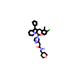 Cc1c(F)cccc1Cc1c(-c2ccccc2)c2ccccn2c1C(=O)N1CCNC(CC(=O)NCC2CCOCC2)C1